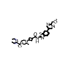 C/C=N\C(=C/C)C(=O)N1CCN(C2CC(C(=O)Nc3nc4ccc(-c5cnc(COC)nc5)cc4s3)C2)C(C)C1